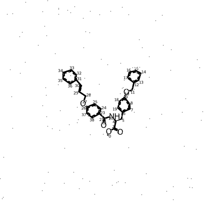 COC(=O)[C@H](Cc1ccc(OCc2ccccc2)cc1)NC(=O)c1ccc(OCC=Cc2ccccc2)cc1